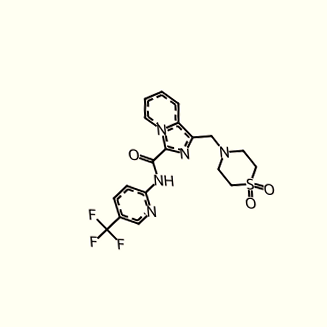 O=C(Nc1ccc(C(F)(F)F)cn1)c1nc(CN2CCS(=O)(=O)CC2)c2ccccn12